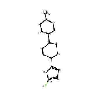 CC1CCC(C2CCC(C3=CC=C(F)C3)CC2)CC1